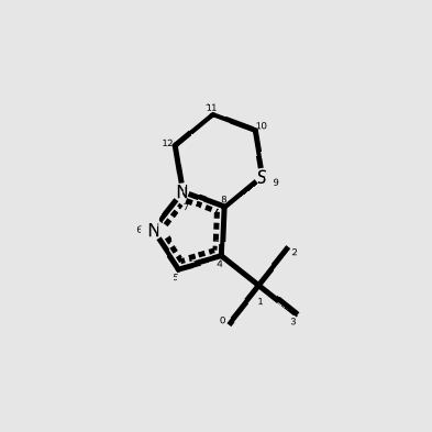 CC(C)(C)c1cnn2c1SCCC2